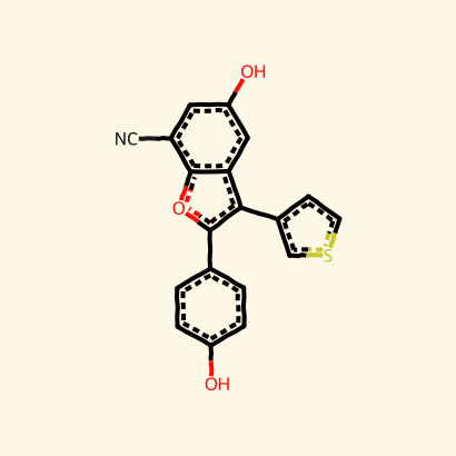 N#Cc1cc(O)cc2c(-c3ccsc3)c(-c3ccc(O)cc3)oc12